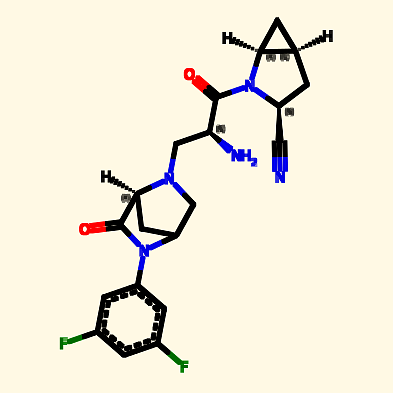 N#C[C@@H]1C[C@@H]2C[C@@H]2N1C(=O)[C@@H](N)CN1CC2C[C@H]1C(=O)N2c1cc(F)cc(F)c1